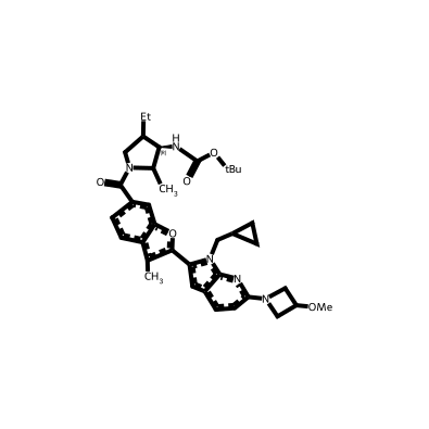 CCC1CN(C(=O)c2ccc3c(C)c(-c4cc5ccc(N6CC(OC)C6)nc5n4CC4CC4)oc3c2)C(C)[C@@H]1NC(=O)OC(C)(C)C